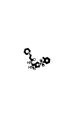 Cc1ccccc1S(=O)(=O)N1Cc2n[nH]c(NC(=O)CCN3CCCCC3)c2C1